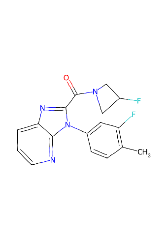 Cc1ccc(-n2c(C(=O)N3CC(F)C3)nc3cccnc32)cc1F